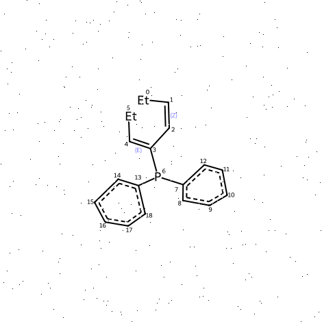 CC/C=C\C(=C/CC)P(c1ccccc1)c1ccccc1